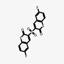 O=c1sc2ccc(F)cc2cc1S(=O)(=O)c1cc2cc(F)ccc2sc1=O